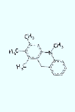 Cc1cc2c(c(C)c1C)Cc1ccccc1N2C